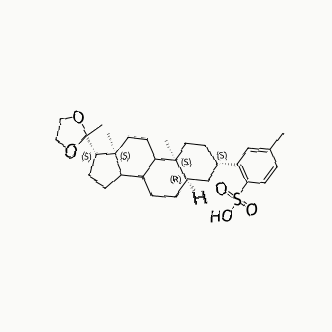 Cc1ccc(S(=O)(=O)O)c([C@H]2CC[C@]3(C)C4CC[C@@]5(C)C(CC[C@@H]5C5(C)OCCO5)C4CC[C@@H]3C2)c1